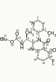 Cc1ccncc1-n1c([C@H](C)NC(=O)OC(C)(C)C)nc2ccc(F)c(Cl)c2c1=O